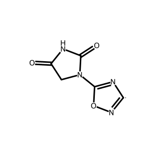 O=C1CN(c2n[c]no2)C(=O)N1